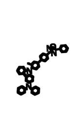 Cc1cc(-c2ccc(-c3noc(-c4ccccc4)n3)cc2)ccc1-n1c2ccccc2c2cc(N(c3ccccc3)c3ccccc3)ccc21